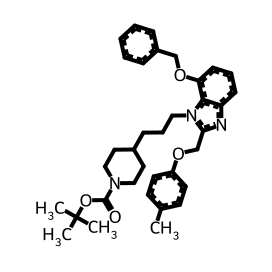 Cc1ccc(OCc2nc3cccc(OCc4ccccc4)c3n2CCCC2CCN(C(=O)OC(C)(C)C)CC2)cc1